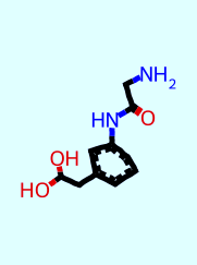 NCC(=O)Nc1cccc(CC(O)O)c1